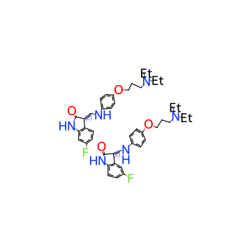 CCN(CC)CCCOc1ccc(N/C=C2/C(=O)Nc3cc(F)ccc32)cc1.CCN(CC)CCCOc1ccc(N/C=C2/C(=O)Nc3ccc(F)cc32)cc1